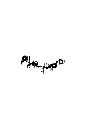 O=C(NCc1ncccc1F)c1coc(CCNCCc2nc3ccc(CN4CCOCC4)cc3[nH]2)n1